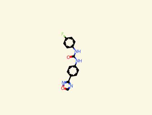 O=C(Nc1ccc(F)cc1)Nc1ccc(-c2ncon2)cc1